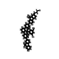 CCCCc1ccc2c(c1)C(C)(C)c1cc(-c3ccc(-c4cccc(-c5ccc(-c6ccc7c(c6)C(C)(C)c6ccccc6-7)nc5)c4C(CC)(CC)c4cc(C)cc(C)c4)cn3)ccc1-2